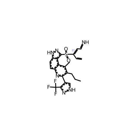 C=C/C(=C\C=N)S(=O)(=O)c1n[nH]c2ccc3nc(-c4c[nH]nc4C(F)(F)F)c(CCC)c(C)c3c12